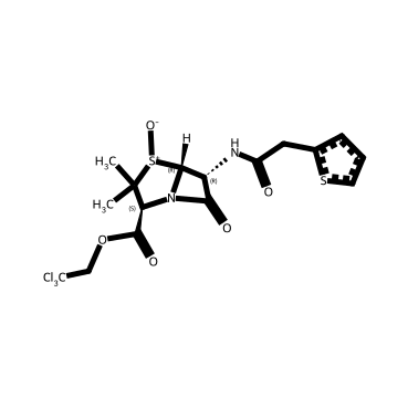 CC1(C)[C@H](C(=O)OCC(Cl)(Cl)Cl)N2C(=O)[C@@H](NC(=O)Cc3cccs3)[C@H]2[S+]1[O-]